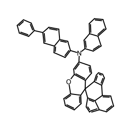 c1ccc(-c2ccc3cc(N(c4ccc5c(c4)Oc4ccccc4C54c5ccccc5-c5cccc6cccc4c56)c4ccc5ccccc5c4)ccc3c2)cc1